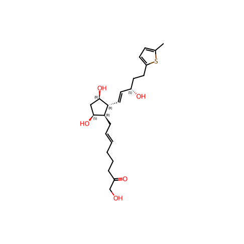 Cc1ccc(CC[C@H](O)C=C[C@@H]2[C@@H](CC=CCCCC(=O)CO)[C@@H](O)C[C@H]2O)s1